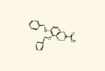 O=C(O)N1CCc2c(ccc(OCc3ccccc3)c2OCc2ccccc2)C1